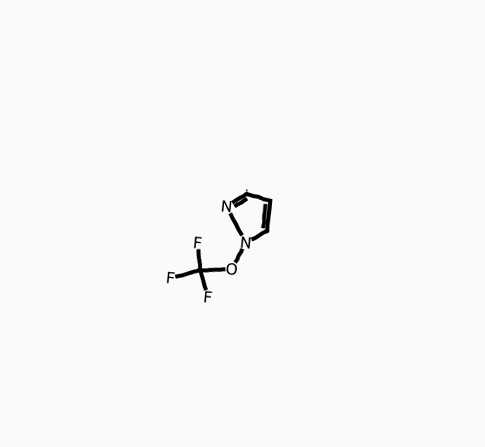 FC(F)(F)On1cc[c]n1